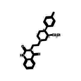 CCOC(=O)[C@H]1CN(CCn2c(=O)[nH]c3ccccc3c2=O)CC[C@H]1c1ccc(C)cc1